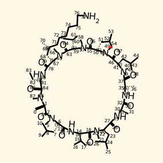 C=C1C(=O)N(C)[C@@H](CC(C)C)C(=O)N[C@H](C(C)C)C(=O)N(C)[C@H](CC(C)C)C(=O)N[C@H](C)C(=O)N[C@@H](C)C(=O)N(C)[C@H](CC(C)C)C(=O)N(C)[C@@H](CC(C)C)C(=O)N(C)[C@@H](C(C)C)C(=O)N(C)[C@@H](C[C@H](C)CCCCCCN)C(=O)N[C@@H](CC)C(=O)N1C